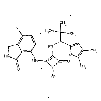 Cc1cc([C@H](NC2=C(Nc3ccc(F)c4c3C(=O)NC4)C(O)C2=O)C(C)(C)C)oc1C